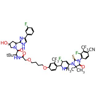 CC(C)(C)[C@H](NC(=O)COCCCCOc1ccc(C2N=CC(N3C(=S)N(c4ccc(C#N)c(C(F)(F)F)c4F)C(=O)C3(C)C)=CC2F)c(C(F)(F)F)c1)C(=O)N1C[C@H](O)C[C@H]1c1nc(-c2cccc(F)c2)c[nH]1